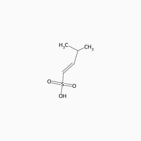 CC(C)C=CS(=O)(=O)O